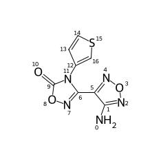 Nc1nonc1-c1noc(=O)n1-c1ccsc1